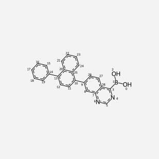 OB(O)c1ncnc2cc(-c3ccc(-c4ccccc4)c4ccccc34)ccc12